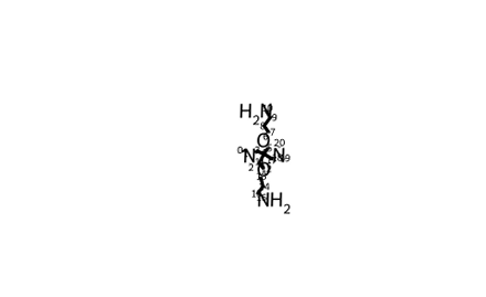 CN(C)CC(COCCCN)(COCCCN)CN(C)C